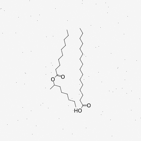 CCCCCCCCCC(=O)OC(C)CCCCCC.CCCCCCCCCCCCCCCC(=O)O